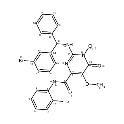 COc1c(C(=O)Nc2ccccc2I)nc(NC(c2ccccc2)c2cccc(Br)c2)n(C)c1=O